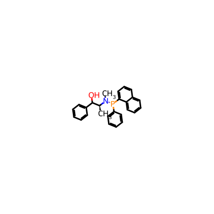 C[C@@H](C(O)c1ccccc1)N(C)[P@@](c1ccccc1)c1cccc2ccccc12